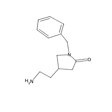 NCCC1CC(=O)N(Cc2ccccc2)C1